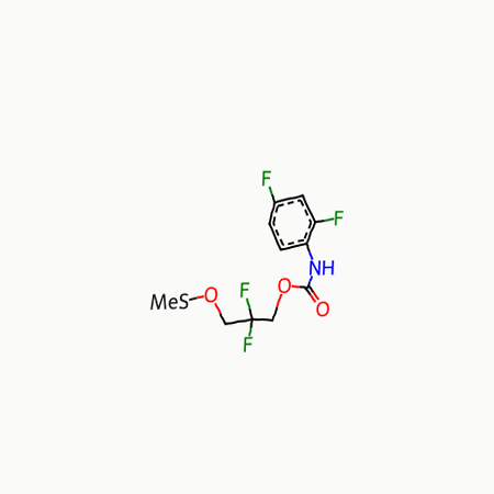 CSOCC(F)(F)COC(=O)Nc1ccc(F)cc1F